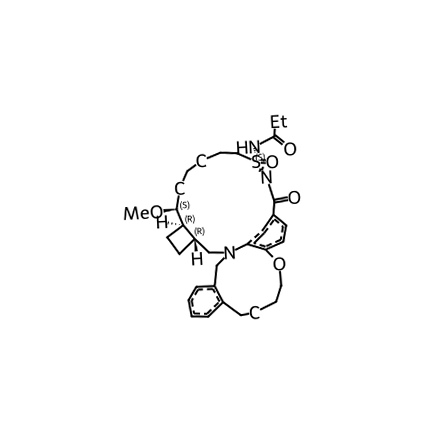 CCC(=O)N[S@]1(=O)=NC(=O)c2ccc3c(c2)N(Cc2ccccc2CCCCO3)C[C@@H]2CC[C@H]2[C@@H](OC)CCCCC1